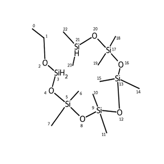 CCO[SiH2]O[Si](C)(C)O[Si](C)(C)O[Si](C)(C)O[Si](C)(C)O[SiH](C)C